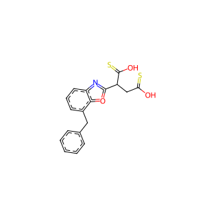 OC(=S)CC(C(O)=S)c1nc2cccc(Cc3ccccc3)c2o1